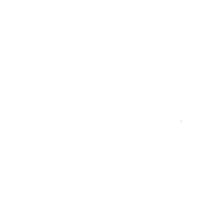 CCC(O)c1ccc(OC)c(-c2ccc(O)c3c2CC(CC(CCO)C(CO)C(=O)CC(C)=O)CC3=O)c1